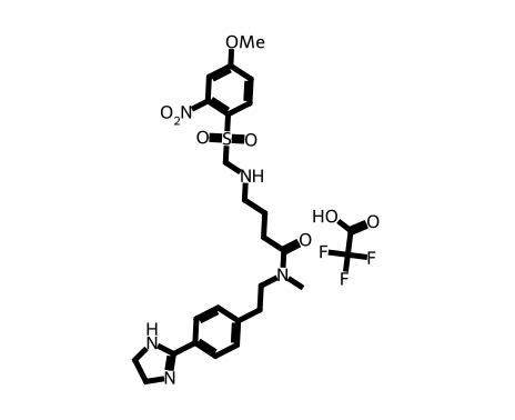 COc1ccc(S(=O)(=O)CNCCCC(=O)N(C)CCc2ccc(C3=NCCN3)cc2)c([N+](=O)[O-])c1.O=C(O)C(F)(F)F